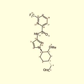 COC1C[C@H](CC=O)CC[C@H]1[N]1C=C[C](NC(=O)c2cccc(C(F)(F)F)n2)=[In]1